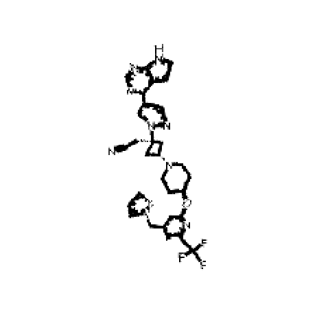 N#CC[C@]1(n2cc(-c3ncnc4[nH]ccc34)cn2)C[C@H](N2CCC(Oc3cc(Cn4cccn4)cc(C(F)(F)F)n3)CC2)C1